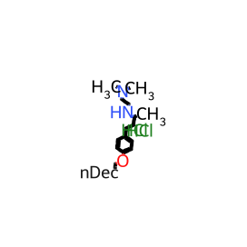 CCCCCCCCCCCOc1ccc(CCC(C)NCCN(C)C)cc1.Cl.Cl